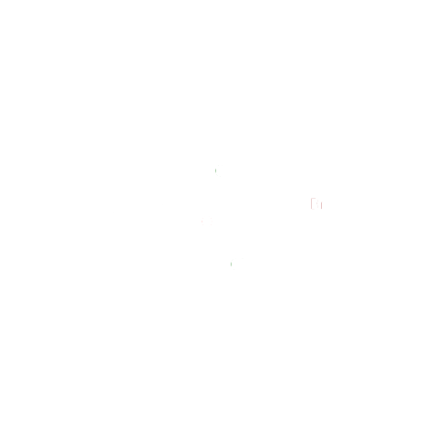 Clc1cc(Br)cc(Cl)c1OCc1ccccc1